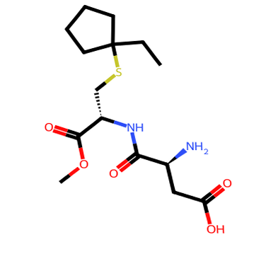 CCC1(SC[C@H](NC(=O)[C@@H](N)CC(=O)O)C(=O)OC)CCCC1